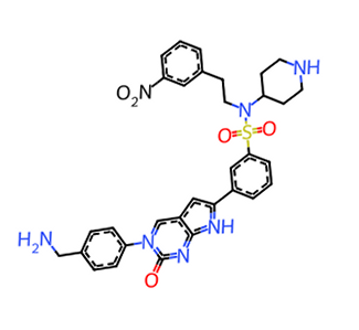 NCc1ccc(-n2cc3cc(-c4cccc(S(=O)(=O)N(CCc5cccc([N+](=O)[O-])c5)C5CCNCC5)c4)[nH]c3nc2=O)cc1